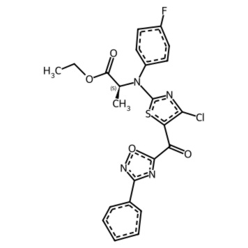 CCOC(=O)[C@H](C)N(c1ccc(F)cc1)c1nc(Cl)c(C(=O)c2nc(-c3ccccc3)no2)s1